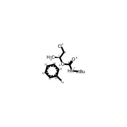 C[C@@H](CCl)OC(=O)NC(C)(C)C.Ic1ccccc1